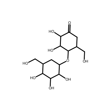 O=C1CC(CO)C(OC2CC(CO)C(O)C(O)C2O)C(O)C1O